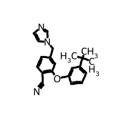 CC(C)(C)c1cccc(Oc2cc(Cn3ccnc3)ccc2C#N)c1